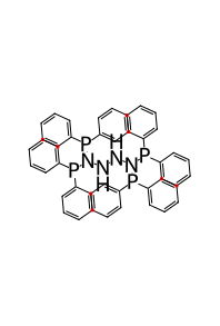 c1ccc(P(c2ccccc2)N(NNN(P(c2ccccc2)c2ccccc2)P(c2ccccc2)c2ccccc2)P(c2ccccc2)c2ccccc2)cc1